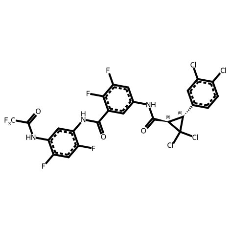 O=C(Nc1cc(NC(=O)C(F)(F)F)c(F)cc1F)c1cc(NC(=O)[C@H]2[C@H](c3ccc(Cl)c(Cl)c3)C2(Cl)Cl)cc(F)c1F